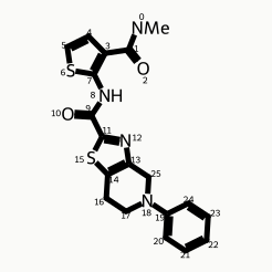 CNC(=O)c1ccsc1NC(=O)c1nc2c(s1)CCN(c1ccccc1)C2